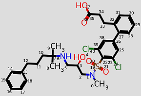 CN(C[C@H](O)CNC(C)(C)CCCc1ccccc1)S(=O)(=O)c1c(Cl)cc(-c2ccccc2CCC(=O)O)cc1Cl